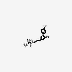 N=C(N)N/N=C/CCc1cc(Br)n(-c2ccc(Br)cc2)c1